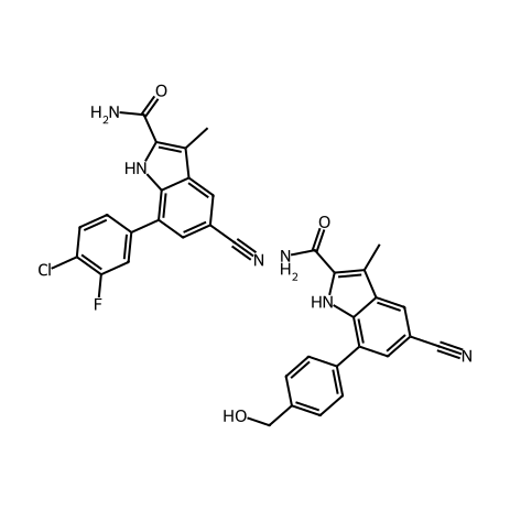 Cc1c(C(N)=O)[nH]c2c(-c3ccc(CO)cc3)cc(C#N)cc12.Cc1c(C(N)=O)[nH]c2c(-c3ccc(Cl)c(F)c3)cc(C#N)cc12